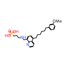 COc1cccc(CCCCCCc2ccc(CNCCCP(=O)(O)O)c3ncccc23)c1